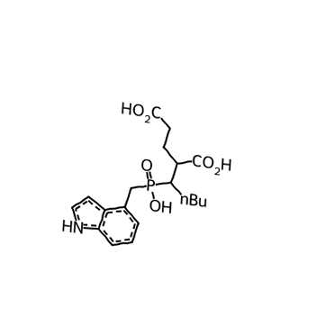 CCCCC(C(CCC(=O)O)C(=O)O)P(=O)(O)Cc1cccc2[nH]ccc12